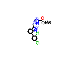 COC(=O)c1ncn(Cc2c3cccc(-c4ccc(Cl)cc4Cl)c3nn2C)n1